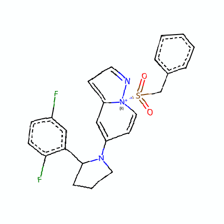 O=S(=O)(Cc1ccccc1)[N@+]12C=CC(N3CCCC3c3cc(F)ccc3F)=CC1=CC=N2